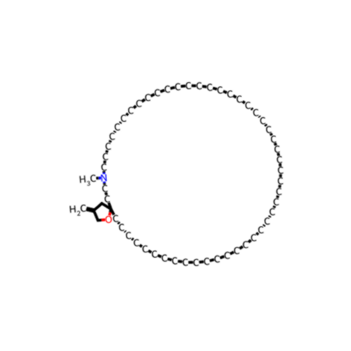 C=C1COC2(CCCCCCCCCCCCCCCCCCCCCCCCCCCCCCCCCCCCCCCCCCCCCCCCN(C)CC2)C1